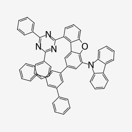 c1ccc(-c2cc(-c3ccccc3)cc(-c3cc(-n4c5ccccc5c5ccccc54)c4oc5cccc(-c6nc(-c7ccccc7)nc(-c7ccccc7)n6)c5c4c3)c2)cc1